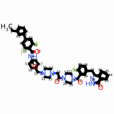 CCc1cccc(-c2cc(F)c(C(=O)NC34CCC(CN5CCN(CC(=O)N6CCN(C(=O)c7cc(Cc8n[nH]c(=O)c9ccccc89)ccc7F)CC6)CC5)(CC3)OC4)c(F)c2)c1